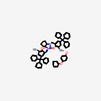 CC(C)(C)c1cc(C(c2ccccc2)(c2ccccc2)c2ccccc2)cc(C=[N+]2[Mn][N+](=Cc3cc(C(c4ccccc4)(c4ccccc4)c4ccccc4)cc(C(C)(C)C)c3O)C3CCCCC32)c1O.[O-]c1ccc(Oc2ccccc2)cc1